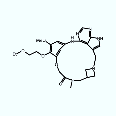 CCOCCOc1c(OC)cc2cc1OCC(=O)N(C)CC1CN(Cc3c[nH]c4ncnc(c34)N2)C1